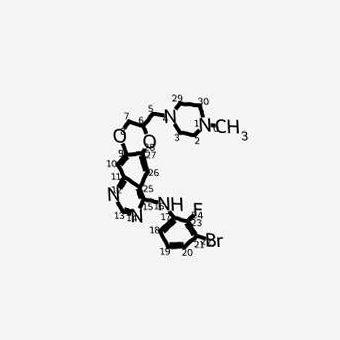 CN1CCN(CC2COc3cc4ncnc(Nc5cccc(Br)c5F)c4cc3O2)CC1